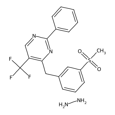 CS(=O)(=O)c1cccc(Cc2nc(-c3ccccc3)ncc2C(F)(F)F)c1.NN